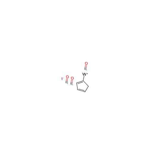 [C]=O.[C]=O.[C]=O.[I-].[W+][C]1=CC=CC1